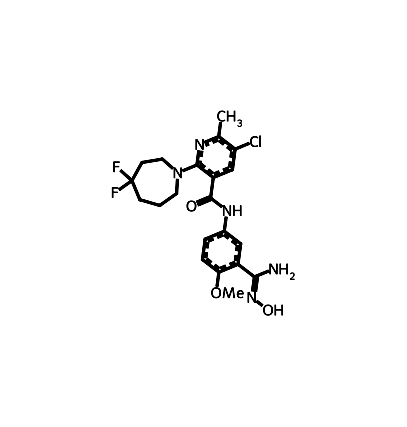 COc1ccc(NC(=O)c2cc(Cl)c(C)nc2N2CCCC(F)(F)CC2)cc1C(N)=NO